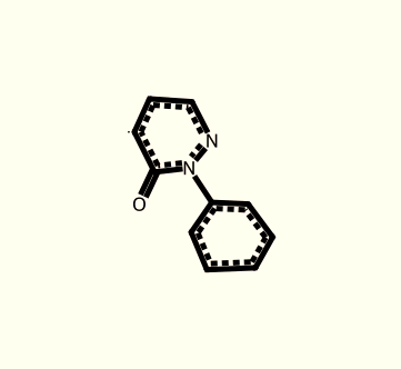 O=c1[c]ccnn1-c1ccccc1